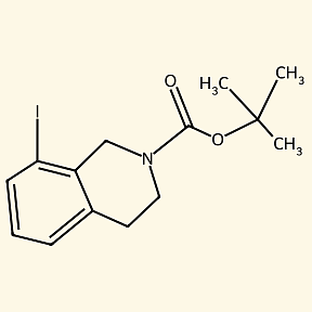 CC(C)(C)OC(=O)N1CCc2cccc(I)c2C1